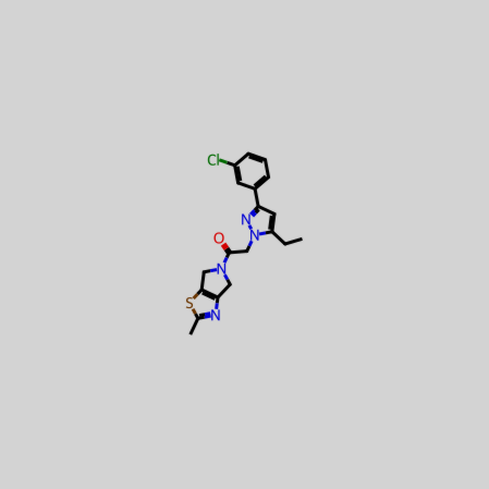 CCc1cc(-c2cccc(Cl)c2)nn1CC(=O)N1Cc2nc(C)sc2C1